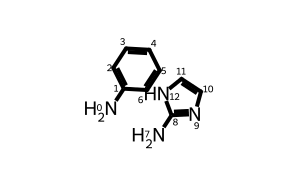 Nc1ccccc1.Nc1ncc[nH]1